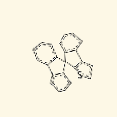 c1ccc2c(c1)-c1ccccc1C21c2ccccc2-c2ccsc21